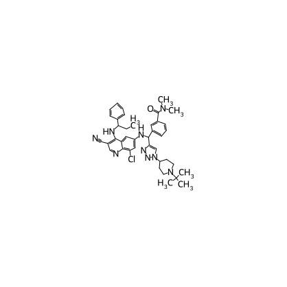 CCC(Nc1c(C#N)cnc2c(Cl)cc(NC(c3cccc(C(=O)N(C)C)c3)c3cn(C4CCN(C(C)(C)C)CC4)nn3)cc12)c1ccccc1